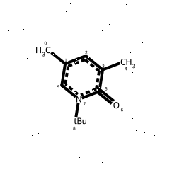 Cc1cc(C)c(=O)n(C(C)(C)C)c1